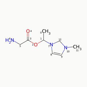 CC(OC(=O)CN)N1C=CN(C)C1